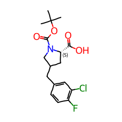 CC(C)(C)OC(=O)N1CC(Cc2ccc(F)c(Cl)c2)C[C@H]1C(=O)O